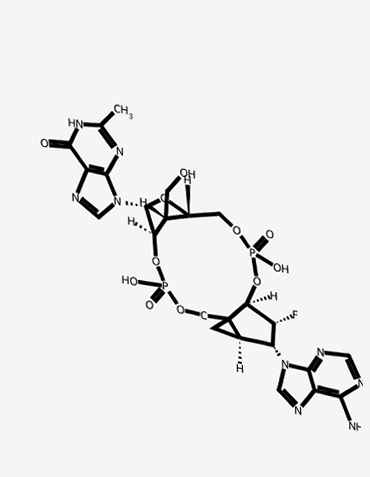 Cc1nc2c(ncn2[C@@H]2O[C@@H]3COP(=O)(O)O[C@H]4[C@H](F)[C@H](n5cnc6c(N)ncnc65)[C@H]5CC54COP(=O)(O)O[C@@H]2[C@@H]3CO)c(=O)[nH]1